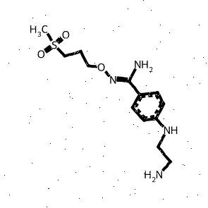 CS(=O)(=O)CCCON=C(N)c1ccc(NCCN)cc1